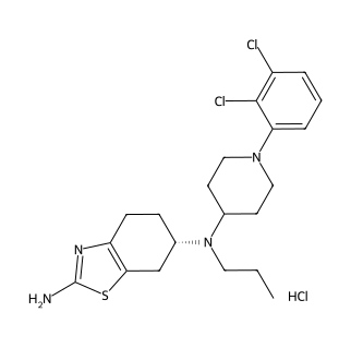 CCCN(C1CCN(c2cccc(Cl)c2Cl)CC1)[C@H]1CCc2nc(N)sc2C1.Cl